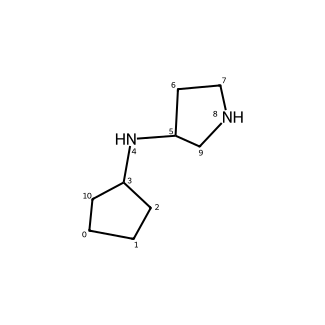 C1CCC(NC2CCNC2)C1